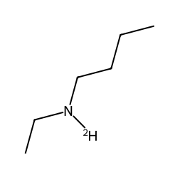 [2H]N(CC)CCCC